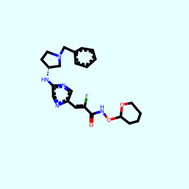 O=C(NOC1CCCCO1)C(F)=Cc1cnc(N[C@@H]2CCN(Cc3ccccc3)C2)cn1